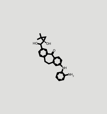 CC1(C)C[C@]1(O)C(O)c1ccc2c(c1)C(=O)c1ccc(Nc3ccccc3N)cc1CC2